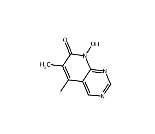 Cc1c(I)c2cncnc2n(O)c1=O